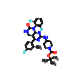 Cc1cc(F)ccc1-c1nc(NC2CCN(C(=O)OC(C)(C)C)CC2)nc2c1CNC(=O)N2c1c(F)cccc1F